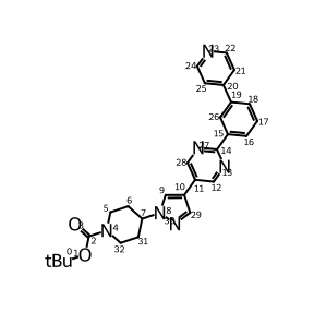 CC(C)(C)OC(=O)N1CCC(n2cc(-c3cnc(-c4cccc(-c5ccncc5)c4)nc3)cn2)CC1